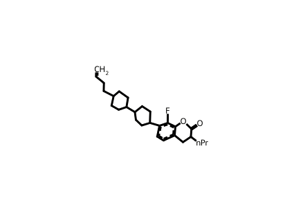 C=CCCC1CCC(C2CCC(c3ccc4c(c3F)OC(=O)C(CCC)C4)CC2)CC1